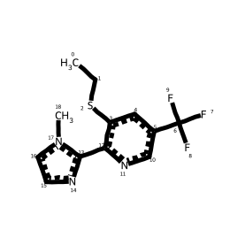 CCSc1cc(C(F)(F)F)cnc1-c1nccn1C